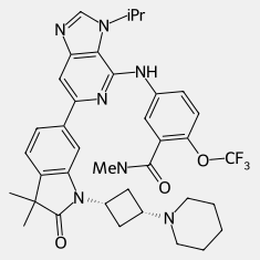 CNC(=O)c1cc(Nc2nc(-c3ccc4c(c3)N([C@H]3C[C@@H](N5CCCCC5)C3)C(=O)C4(C)C)cc3ncn(C(C)C)c23)ccc1OC(F)(F)F